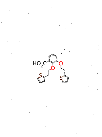 O=C(O)c1cccc(OCCc2cccs2)c1OCCc1cccs1